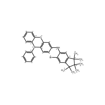 CC1(C)c2cc(Br)c(Nc3ccc4c(c3)Oc3ccccc3N4c3ccccc3)cc2C(C)(C)C1(C)C